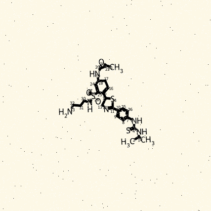 CC(C)NC(=S)Nc1ccc(C2=NCC(C3=CCC(NC4OC4C)C=C3S(=O)(=O)NCCCN)S2)cc1